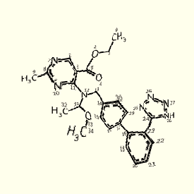 CCOC(=O)c1cnc(C)nc1N(Cc1ccc(-c2ccccc2-c2nnn[nH]2)cc1)C(C)OC